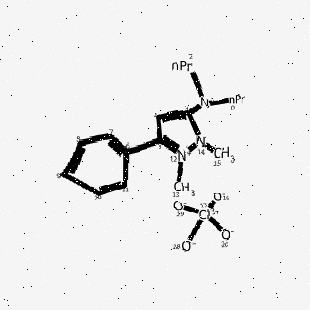 CCCN(CCC)c1cc(-c2ccccc2)[n+](C)n1C.[O-][Cl+3]([O-])([O-])[O-]